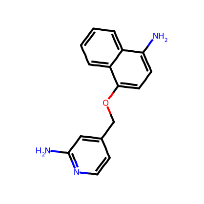 Nc1cc(COc2ccc(N)c3ccccc23)ccn1